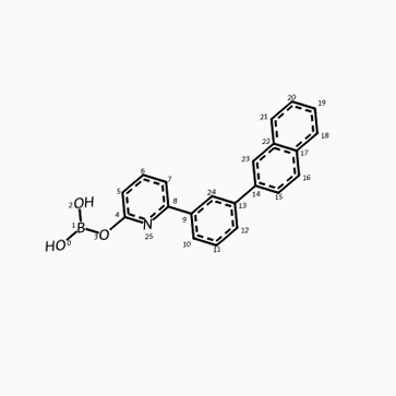 OB(O)Oc1cccc(-c2cccc(-c3ccc4ccccc4c3)c2)n1